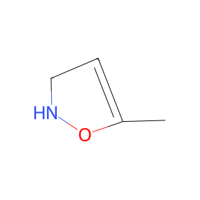 CC1=CCNO1